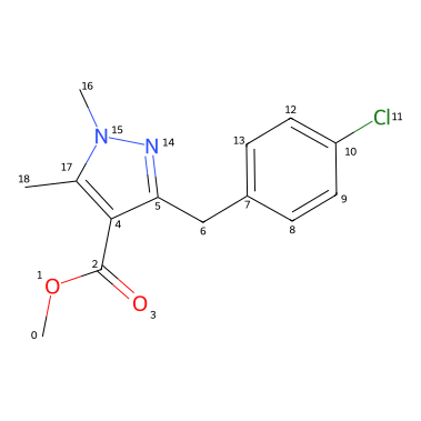 COC(=O)c1c(Cc2ccc(Cl)cc2)nn(C)c1C